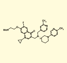 CNCCOc1cc2c(cc1F)c(=O)c(CN(Cc1ccnc(C)c1)[C@H]1CCCN(c3ccc(C)nc3)C1)cn2C1CC1